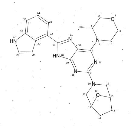 C[C@@H]1COCCN1c1nc(N2CC3CCC(C2)O3)nc2[nH]c(-c3cccc4[nH]ccc34)nc12